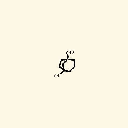 O=CC12CCC[N+](C=O)(CC1)C2